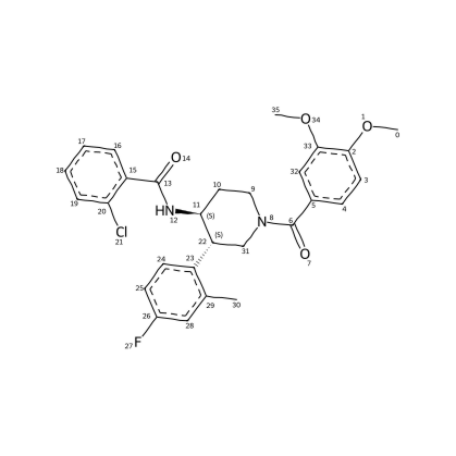 COc1ccc(C(=O)N2CC[C@H](NC(=O)c3ccccc3Cl)[C@@H](c3ccc(F)cc3C)C2)cc1OC